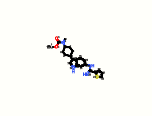 CN(C(=O)OC(C)(C)C)C1CCC(c2c[nH]c3cc(NC(=N)c4cccs4)ccc23)CC1